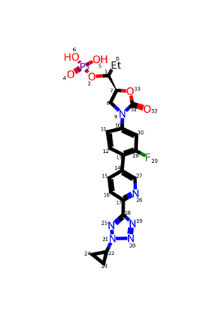 CCC(OP(=O)(O)O)[C@@H]1CN(c2ccc(-c3ccc(-c4nnn(C5CC5)n4)nc3)c(F)c2)C(=O)O1